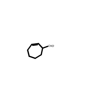 O=[C]C1C=CCCCC1